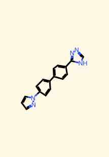 c1cnn(-c2ccc(-c3ccc(-c4nnc[nH]4)cc3)cc2)c1